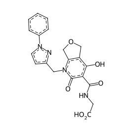 O=C(O)CNC(=O)c1c(O)c2c(n(Cc3ccn(-c4ccccc4)n3)c1=O)COC2